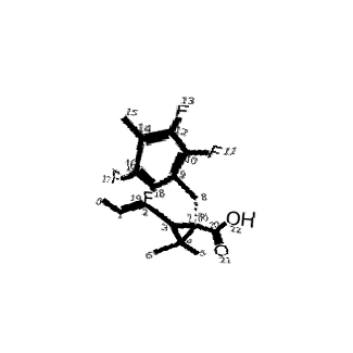 CC=CC1C(C)(C)[C@]1(Cc1c(F)c(F)c(C)c(F)c1F)C(=O)O